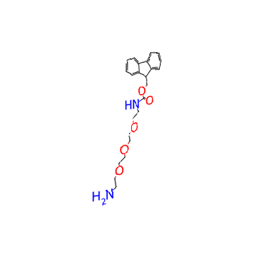 NCCOCCOCCOCCNC(=O)OCC1c2ccccc2-c2ccccc21